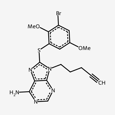 C#CCCCn1c(Sc2cc(OC)cc(Br)c2OC)nc2c(N)ncnc21